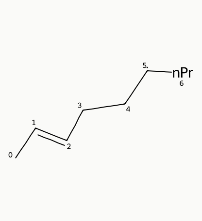 C/C=C/CC[CH]CCC